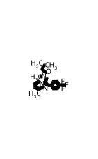 Cc1cccn2c(CN(C)C(=O)CC(C)C)c(-c3ccc(C(F)(F)F)cc3)nc12